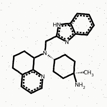 C[C@]1(N)CC[C@H](N(Cc2nc3ccccc3[nH]2)C2CCCc3cccnc32)CC1